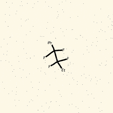 [CH2]CC(F)(F)C(F)(F)C([CH2])C